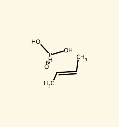 CC=CC.O=[PH](O)O